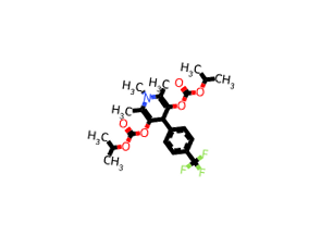 CC1=C(OC(=O)OC(C)C)C(c2ccc(C(F)(F)F)cc2)C(OC(=O)OC(C)C)=C(C)N1C